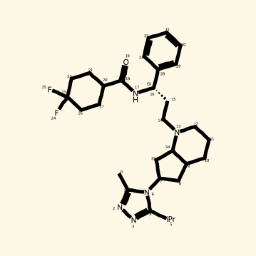 Cc1nnc(C(C)C)n1C1CC2CCCN(CC[C@H](NC(=O)C3CCC(F)(F)CC3)c3ccccc3)C2C1